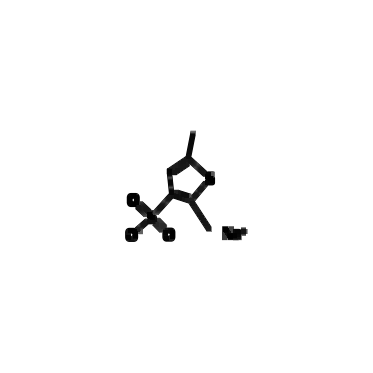 Cc1cc(S(=O)(=O)[O-])c(C)s1.[Na+]